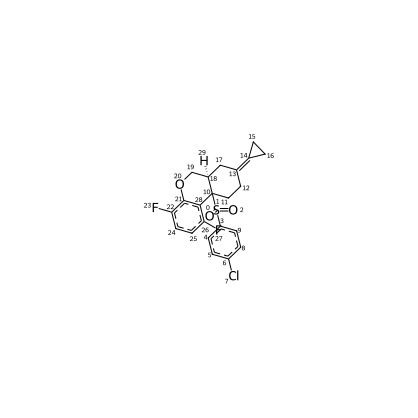 O=S(=O)(c1ccc(Cl)cc1)C12CCC(=C3CC3)C[C@@H]1COc1c(F)ccc(F)c12